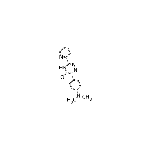 CN(C)c1ccc(-c2nnc(-c3ccccn3)[nH]c2=O)cc1